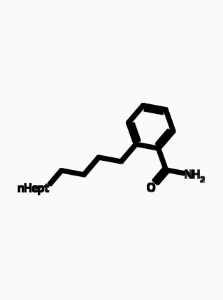 CCCCCCCCCCCc1ccccc1C(N)=O